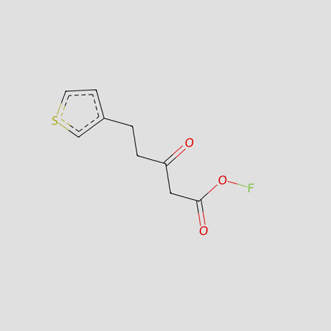 O=C(CCc1ccsc1)CC(=O)OF